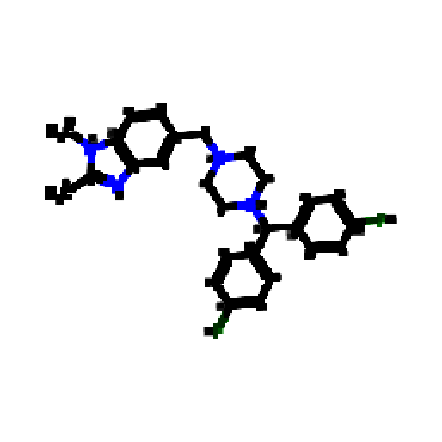 Cc1nc2cc(CN3CCN(C(c4ccc(F)cc4)c4ccc(F)cc4)CC3)ccc2n1C